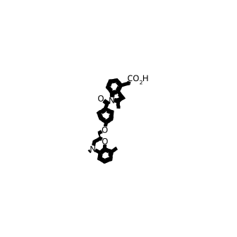 Cc1cccc2c1O[C@H](COc1ccc(C(=O)n3c(C)cc4c(CC(=O)O)cccc43)cc1)CN2C